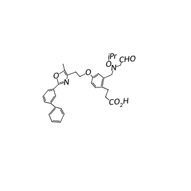 Cc1oc(-c2cccc(-c3ccccc3)c2)nc1CCOc1ccc(CCC(=O)O)c(CN(CC=O)OC(C)C)c1